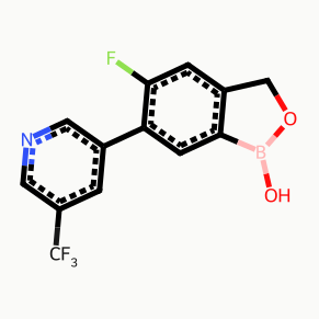 OB1OCc2cc(F)c(-c3cncc(C(F)(F)F)c3)cc21